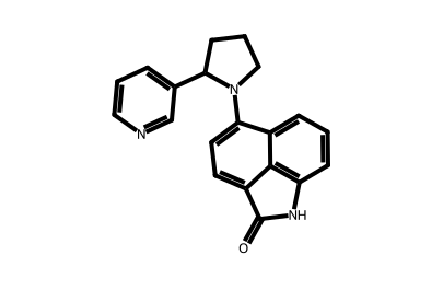 O=C1Nc2cccc3c(N4CCCC4c4cccnc4)ccc1c23